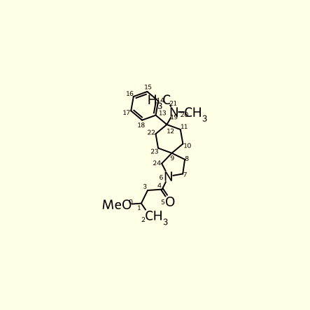 COC(C)CC(=O)N1CCC2(CCC(c3ccccc3)(N(C)C)CC2)C1